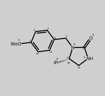 COc1ccc(CN2C(=O)NC[C@@H]2C(C)C)cc1